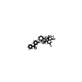 C=CCC(C(N)=O)C(CC(C)C)C(=O)N[C@H]1CCCCN(Cc2cccc(C(=O)c3ccccc3)c2)C1=O